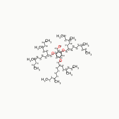 CCCC(C)CCCCC(CCC(C)CCC)COc1cc(OCC(CCCCC(C)CCC)CCC(C)CCC)c(C=O)c(OCC(CCCCC(C)CCC)CCC(C)CCC)c1